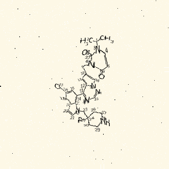 CC(C)n1ccc(=O)n(Cc2cc3c(-c4cc(Cl)cc5ccn(CC6(F)CCNCC6)c45)ncnn3c2)c1=O